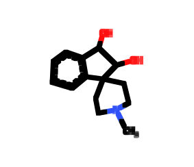 CN1CCC2(CC1)c1ccccc1C(O)C2O